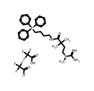 CN(CCC(C)(C)C(=O)NCCCC[P+](c1ccccc1)(c1ccccc1)c1ccccc1)C(=N)N.O=C(O)C(F)(F)F.O=C([O-])C(F)(F)F